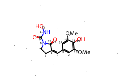 COc1cc(C=C2CCN(C(=O)NO)C2=O)cc(OC)c1O